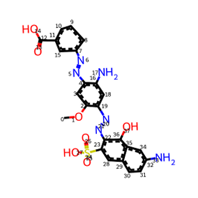 COc1cc(N=Nc2cccc(C(=O)O)c2)c(N)cc1N=Nc1c(S(=O)(=O)O)cc2ccc(N)cc2c1O